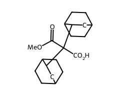 COC(=O)C(C(=O)O)(C1CC2CCC1CC2)C1CC2CCC1CC2